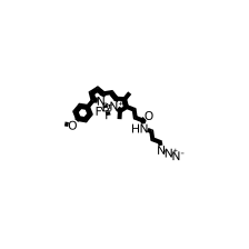 COc1ccc(-c2ccc3n2[B-](F)(F)[N+]2=C(C)C(CCC(=O)NCCCN=[N+]=[N-])=C(C)C2=C3)cc1